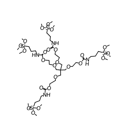 CO[Si](CCCNC(=O)OCCOCC(COCCOC(=O)NCCC[Si](OC)(OC)OC)(COCCOC(=O)NCCC[Si](OC)(OC)OC)COCCOC(=O)NCCC[Si](OC)(OC)OC)(OC)OC